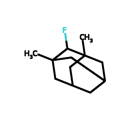 CC12CC3CC(C1)CC(C)(C3)C2F